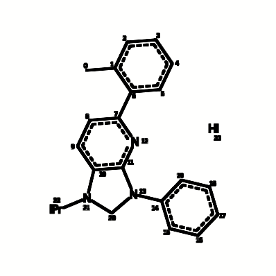 Cc1ccccc1-c1ccc2c(n1)N(c1ccccc1)CN2C(C)C.I